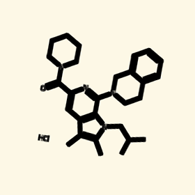 Cc1c(C)n(CC(C)C)c2c(N3CCc4ccccc4C3)nc(C(=O)N3CCCCC3)cc12.Cl